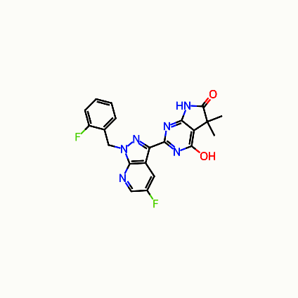 CC1(C)C(=O)Nc2nc(-c3nn(Cc4ccccc4F)c4ncc(F)cc34)nc(O)c21